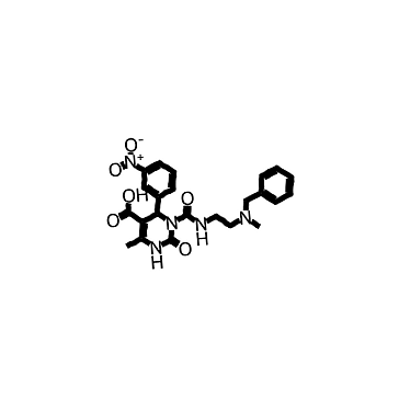 CC1=C(C(=O)O)C(c2cccc([N+](=O)[O-])c2)N(C(=O)NCCN(C)Cc2ccccc2)C(=O)N1